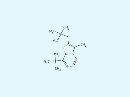 Cc1c(CC(C)(C)C)sc2c(C(C)(C)C)nccc12